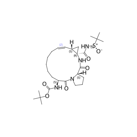 CC(C)(C)OC(=O)N[C@H]1CCCCC/C=C\[C@@H]2C[C@@]2(C(=O)N[S@+]([O-])C(C)(C)C)NC(=O)[C@@H]2CCCN2C1=O